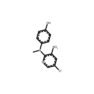 CN(c1ccc(O)cc1)c1ncc(Cl)cc1[N+](=O)[O-]